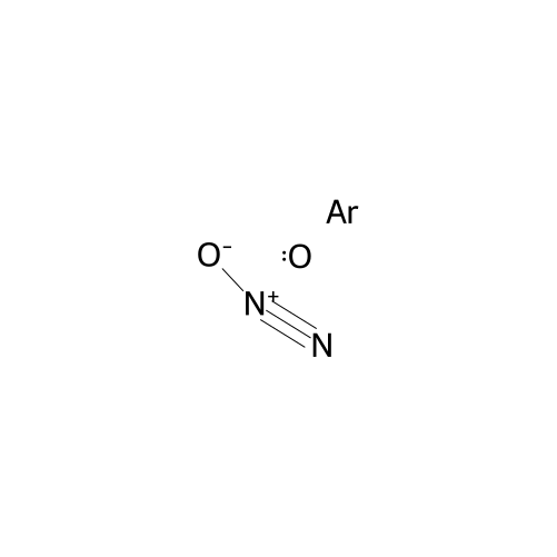 N#[N+][O-].[Ar].[O]